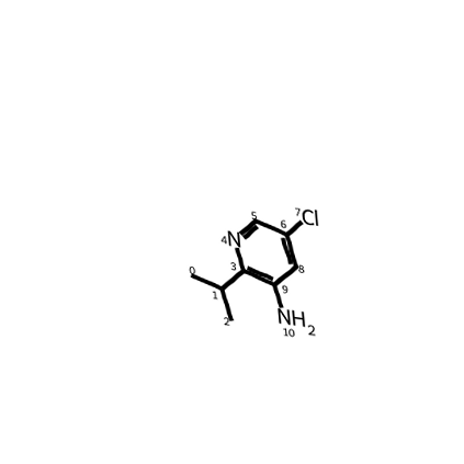 CC(C)c1ncc(Cl)cc1N